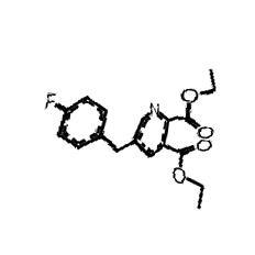 CCOC(=O)c1cc(Cc2ccc(F)cc2)cnc1C(=O)OCC